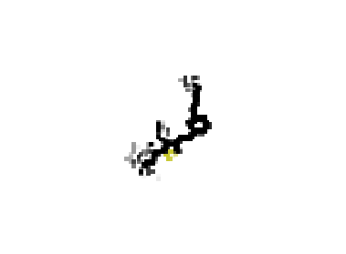 C=CCCCc1cccc(CCc2csc(C(C)C=C(C)C)c2C)c1